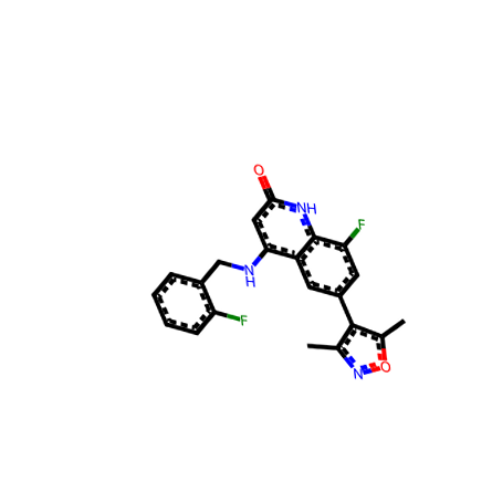 Cc1noc(C)c1-c1cc(F)c2[nH]c(=O)cc(NCc3ccccc3F)c2c1